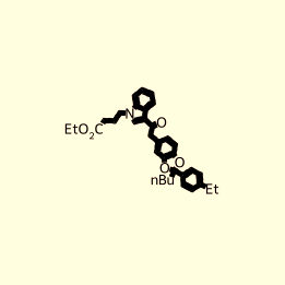 CCCCC1(c2ccc(CC)cc2)Oc2ccc(CC(=O)c3cn(CCCC(=O)OCC)c4ccccc34)cc2O1